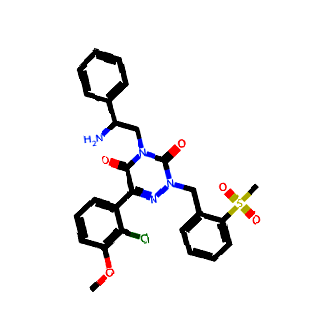 COc1cccc(-c2nn(Cc3ccccc3S(C)(=O)=O)c(=O)n(CC(N)c3ccccc3)c2=O)c1Cl